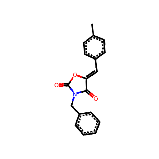 Cc1ccc(/C=C2\OC(=O)N(Cc3ccccc3)C2=O)cc1